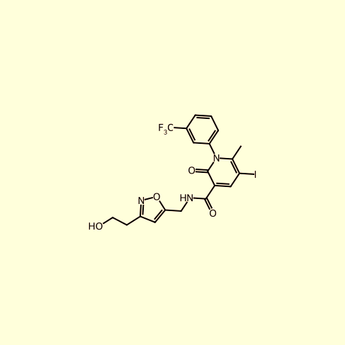 Cc1c(I)cc(C(=O)NCc2cc(CCO)no2)c(=O)n1-c1cccc(C(F)(F)F)c1